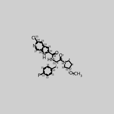 CO[C@H]1CCN(C(=O)[C@H](Cc2ccc(F)cc2)NC(=O)c2cc3cc(Cl)ncc3[nH]2)C1